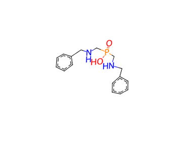 O=P(O)(CNCc1ccccc1)CNCc1ccccc1